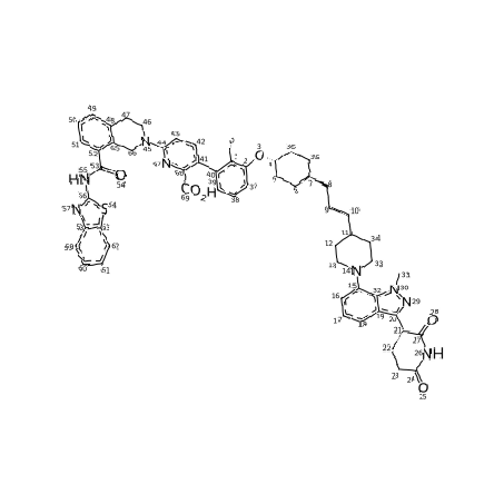 Cc1c(O[C@H]2CC[C@H](CCCC3CCN(c4cccc5c(C6CCC(=O)NC6=O)nn(C)c45)CC3)CC2)cccc1-c1ccc(N2CCc3cccc(C(=O)Nc4nc5ccccc5s4)c3C2)nc1C(=O)O